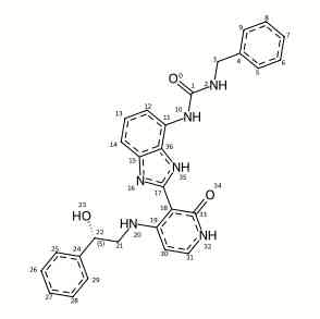 O=C(NCc1ccccc1)Nc1cccc2nc(-c3c(NC[C@@H](O)c4ccccc4)cc[nH]c3=O)[nH]c12